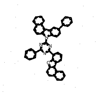 c1ccc(-c2ccc3c(c2)c2c4ccccc4ccc2n3-c2nc(-c3ccccc3)nc(-c3cccc4c3oc3ccc5ccccc5c34)n2)cc1